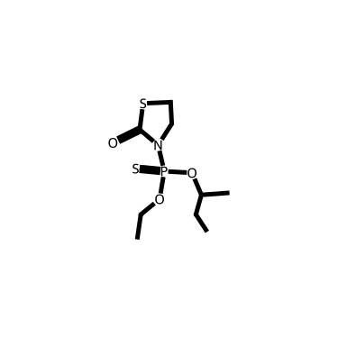 CCOP(=S)(OC(C)CC)N1CCSC1=O